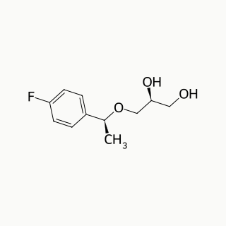 C[C@H](OC[C@@H](O)CO)c1ccc(F)cc1